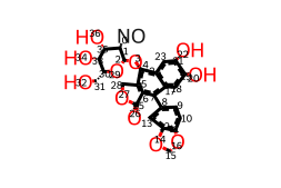 O=N[C@H]1C(Oc2c3c(c(-c4ccc5c(c4)OCO5)c4cc(O)c(O)cc24)C(=O)OC3)O[C@H](CO)[C@H](O)[C@@H]1O